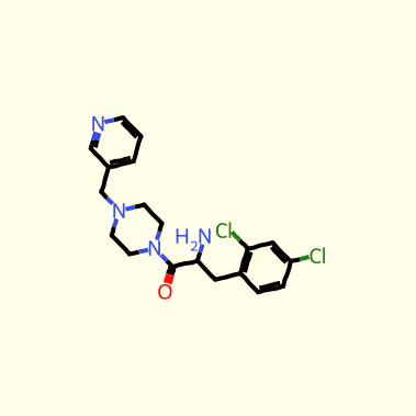 NC(Cc1ccc(Cl)cc1Cl)C(=O)N1CCN(Cc2cccnc2)CC1